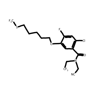 N#CCN(CC(F)(F)F)C(=O)c1cc(OCCCCCSC(F)(F)F)c(F)cc1Cl